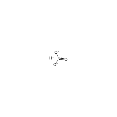 O=[N+]([O-])[O-].[H+]